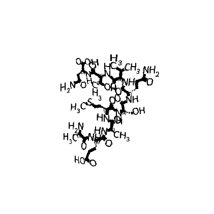 CSCC[C@H](NC(=O)[C@H](C)NC(=O)[C@H](CCC(=O)O)NC(=O)[C@H](C)N)C(=O)N[C@@H](CO)C(=O)N[C@@H](CCC(N)=O)C(=O)N[C@H](C(=O)N[C@H](C(=O)N[C@@H](CC(N)=O)C(=O)O)[C@@H](C)O)C(C)C